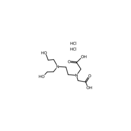 Cl.Cl.O=C(O)CN(CCN(CCO)CCO)CC(=O)O